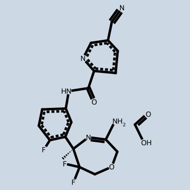 C[C@]1(c2cc(NC(=O)c3ccc(C#N)cn3)ccc2F)N=C(N)COCC1(F)F.O=CO